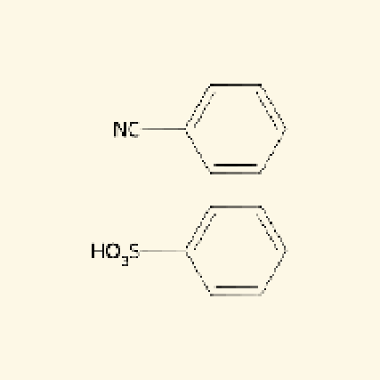 N#Cc1ccccc1.O=S(=O)(O)c1ccccc1